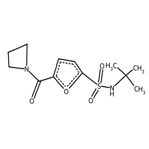 CC(C)(C)NS(=O)(=O)c1ccc(C(=O)N2CCC2)o1